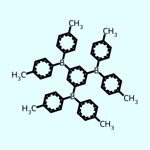 Cc1ccc(B(c2ccc(C)cc2)c2cc(B(c3ccc(C)cc3)c3ccc(C)cc3)cc(B(c3ccc(C)cc3)c3ccc(C)cc3)c2)cc1